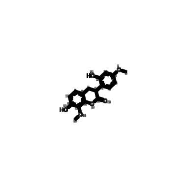 COc1ccc(C2Cc3ccc(O)c(OC)c3OC2=O)c(O)c1